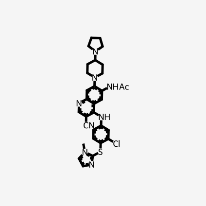 CC(=O)Nc1cc2c(Nc3ccc(Sc4nccn4C)c(Cl)c3)c(C#N)cnc2cc1N1CCC(N2CCCC2)CC1